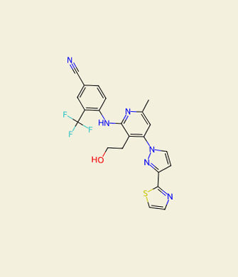 Cc1cc(-n2ccc(-c3nccs3)n2)c(CCO)c(Nc2ccc(C#N)cc2C(F)(F)F)n1